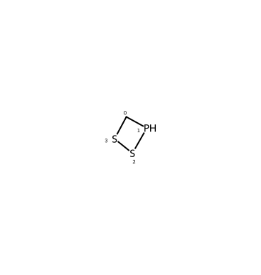 C1PSS1